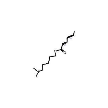 C/C=C/C=C/C(=O)OCCCCCN(C)C